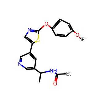 CCC(=O)NC(C)c1cncc(-c2cnc(Oc3ccc(OC(C)C)cc3)s2)c1